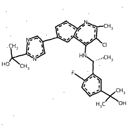 Cc1nc2ccc(-c3cnc(C(C)(C)O)nc3)cc2c(N[C@H](C)c2cc(C(C)(C)O)ccc2F)c1Cl